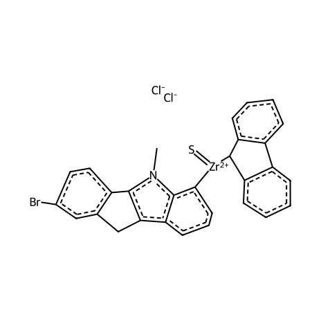 Cn1c2c(c3ccc[c]([Zr+2](=[S])[CH]4c5ccccc5-c5ccccc54)c31)Cc1cc(Br)ccc1-2.[Cl-].[Cl-]